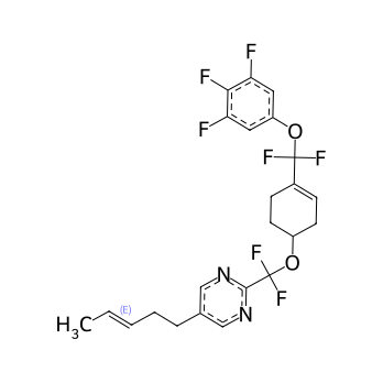 C/C=C/CCc1cnc(C(F)(F)OC2CC=C(C(F)(F)Oc3cc(F)c(F)c(F)c3)CC2)nc1